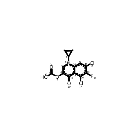 O=C(O)Oc1cn(C2CC2)c2cc(Cl)c(F)c(Cl)c2c1=O